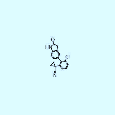 N#CC1(c2cccc(Cl)c2-c2ccc3c(c2)CC(=O)N3)CC1